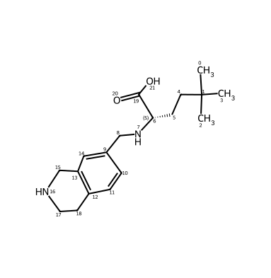 CC(C)(C)CC[C@H](NCc1ccc2c(c1)CNCC2)C(=O)O